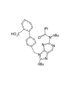 CCCCc1nc2cnc(N(CCCC)C(=O)C(C)C)nc2n1Cc1ccc(-c2ccccc2C(=O)O)cc1